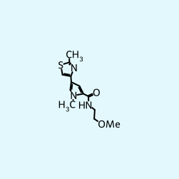 COCCNC(=O)c1cc(-c2csc(C)n2)cn1C